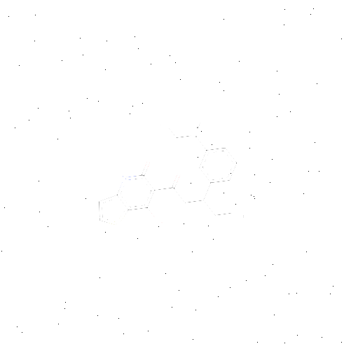 CCC(CC(=O)c1c(O)c2sccc2[nH]c1=O)c1cccc([SiH](C)CC)c1